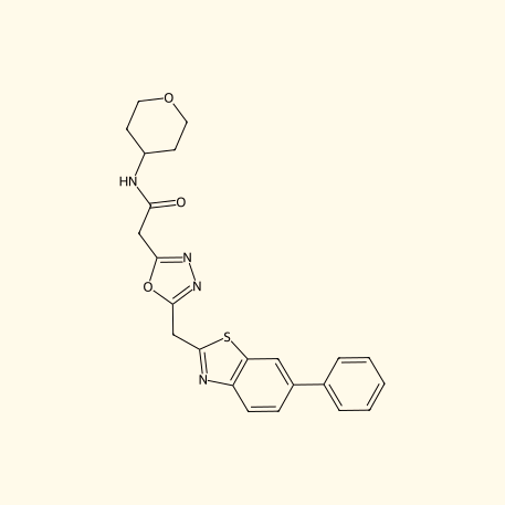 O=C(Cc1nnc(Cc2nc3ccc(-c4ccccc4)cc3s2)o1)NC1CCOCC1